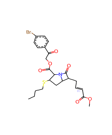 CCCCSC1CC2C(C/C=C/C(=O)OC)C(=O)N2C1C(=O)OCC(=O)c1ccc(Br)cc1